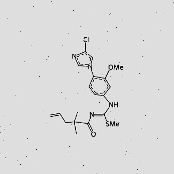 C=CCC(C)(C)C(=O)N=C(Nc1ccc(-n2cnc(Cl)c2)c(OC)c1)SC